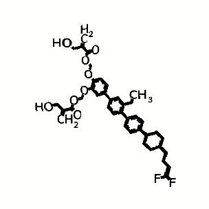 C=C(CO)C(=O)OCOc1ccc(-c2ccc(-c3ccc(C4CCC(CCC=C(F)F)CC4)cc3)c(CC)c2)cc1OCOC(=O)C(=C)CO